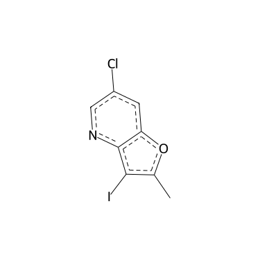 Cc1oc2cc(Cl)cnc2c1I